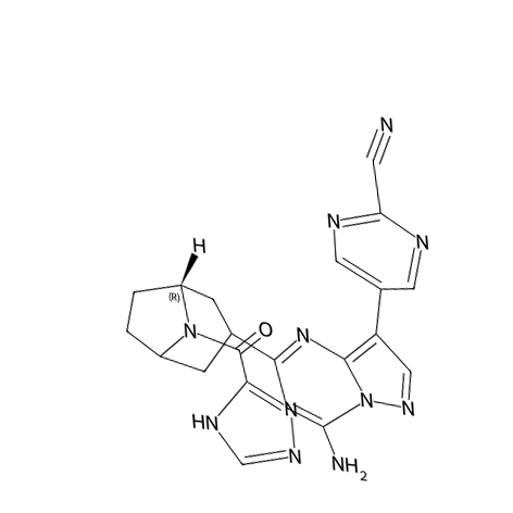 N#Cc1ncc(-c2cnn3c(N)cc(C4CC5CC[C@H](C4)N5C(=O)c4nnc[nH]4)nc23)cn1